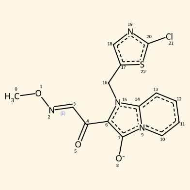 CO/N=C/C(=O)c1c([O-])[n+]2ccccc2n1Cc1cnc(Cl)s1